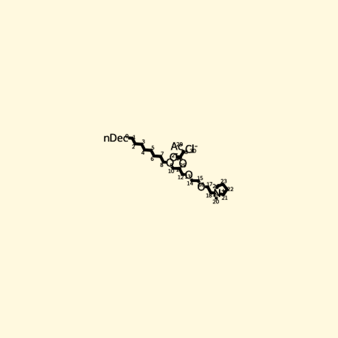 CCCCCCCCCCCCCCCCCCOCC(COCCOCC[N+]1(C)CCCC1)OC(=O)CC(C)=O.[Cl-]